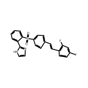 O=S(=O)(c1ccc(/C=C/c2ccc(F)cc2F)cc1)c1ccccc1-c1ncc[nH]1